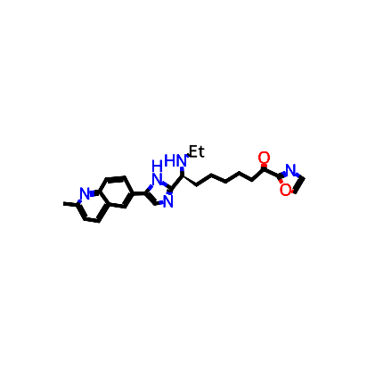 CCN[C@@H](CCCCCC(=O)c1ncco1)c1ncc(-c2ccc3nc(C)ccc3c2)[nH]1